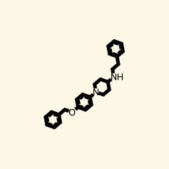 c1ccc(CCNC2CCN(c3ccc(OCc4ccccc4)cc3)CC2)cc1